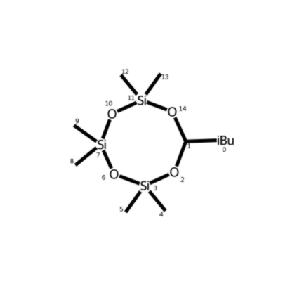 CCC(C)C1O[Si](C)(C)O[Si](C)(C)O[Si](C)(C)O1